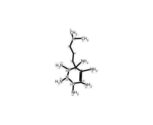 CN(C)CCCC1(N)C(N)=C(N)N(N)N(N)N1N